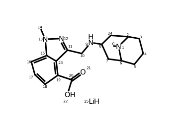 CN1C2CCCC1CC(NCc1nn(C)c3cccc(C(=O)O)c13)C2.[LiH]